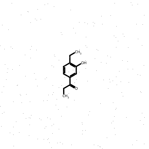 CCC(=O)c1ccc(CC)c(O)c1